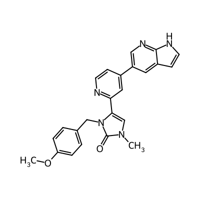 COc1ccc(Cn2c(-c3cc(-c4cnc5[nH]ccc5c4)ccn3)cn(C)c2=O)cc1